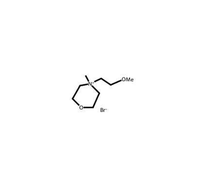 COCC[N+]1(C)CCOCC1.[Br-]